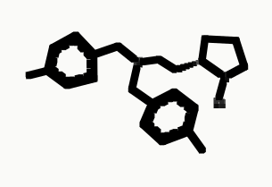 CCN1CCC[C@H]1CCN(Cc1ccc(C)cc1)Cc1ccc(C)cc1